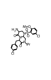 COc1ccc(Cl)cc1S(=O)(=O)N1CC(N)C(=O)N2C(Cc3ccc(Cl)cc3)C(=O)N(C(C)C)CC21